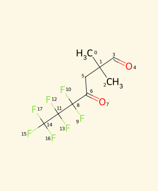 CC(C)([C]=O)CC(=O)C(F)(F)C(F)(F)C(F)(F)F